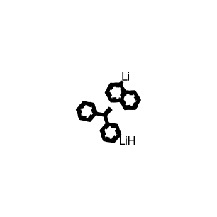 C=C(c1ccccc1)c1ccccc1.[LiH].[Li][c]1cccc2ccccc12